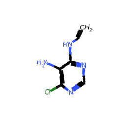 C=CNc1ncnc(Cl)c1N